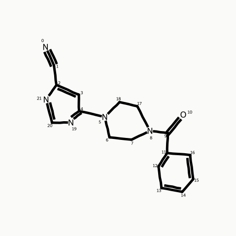 N#Cc1cc(N2CCN(C(=O)c3ccccc3)CC2)ncn1